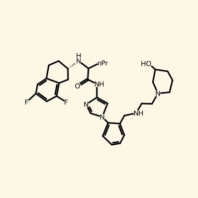 CCCC(N[C@H]1CCc2cc(F)cc(F)c2C1)C(=O)Nc1cn(-c2ccccc2CNCCN2CCCC(O)C2)cn1